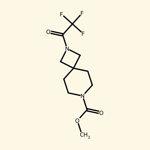 COC(=O)N1CCC2(CC1)CN(C(=O)C(F)(F)F)C2